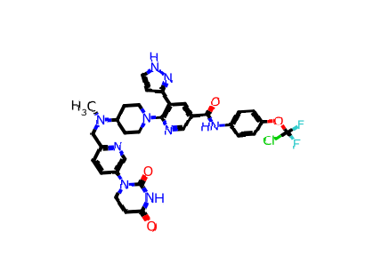 CN(Cc1ccc(N2CCC(=O)NC2=O)cn1)C1CCN(c2ncc(C(=O)Nc3ccc(OC(F)(F)Cl)cc3)cc2-c2cc[nH]n2)CC1